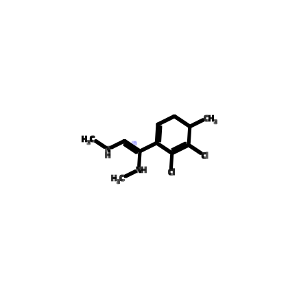 CN/C=C(\NC)C1=CCC(C)C(Cl)=C1Cl